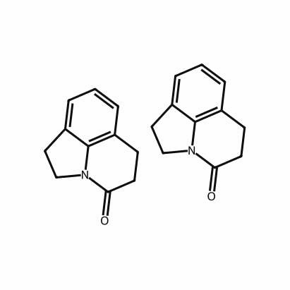 O=C1CCc2cccc3c2N1CC3.O=C1CCc2cccc3c2N1CC3